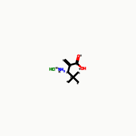 C=C(CC(C)(C)C)C(=O)O.Cl.N